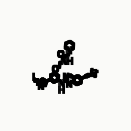 C[Si](C)(C)C#Cc1ccc2nc(Nc3cc(OCCNC(=O)CN4CCCCC4)cc(-c4cnn(CI)c4)c3)ncc2c1